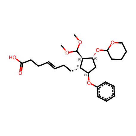 COC(OC)[C@@H]1[C@@H](CCC=CCCC(=O)O)[C@H](Oc2ccccc2)C[C@H]1OC1CCCCO1